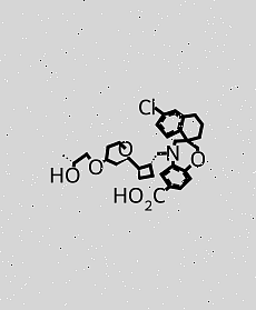 C[C@@H](O)CO[C@H]1CCO[C@@H]([C@@H]2CC[C@H]2CN2CC3(CCCc4cc(Cl)ccc43)COc3ccc(C(=O)O)cc32)C1